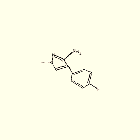 Cn1cc(-c2ccc(F)cc2)c(N)n1